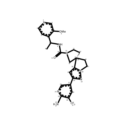 COc1cnccc1C(C)NC(=O)N1CC[C@@]2(CCn3nc(-c4cnc(N)c(C(F)(F)F)c4)cc32)C1